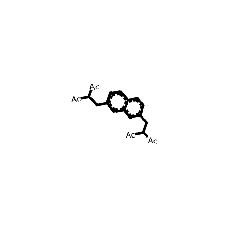 CC(=O)C(Cc1ccc2ccc(CC(C(C)=O)C(C)=O)cc2c1)C(C)=O